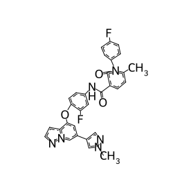 Cc1ccc(C(=O)Nc2ccc(Oc3cc(-c4cnn(C)c4)cn4nccc34)c(F)c2)c(=O)n1-c1ccc(F)cc1